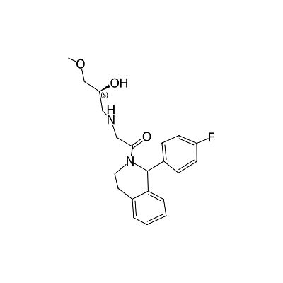 COC[C@@H](O)CNCC(=O)N1CCc2ccccc2C1c1ccc(F)cc1